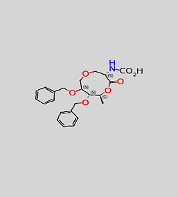 C[C@@H]1OC(=O)[C@@H](NC(=O)O)COC[C@H](OCc2ccccc2)[C@H]1OCc1ccccc1